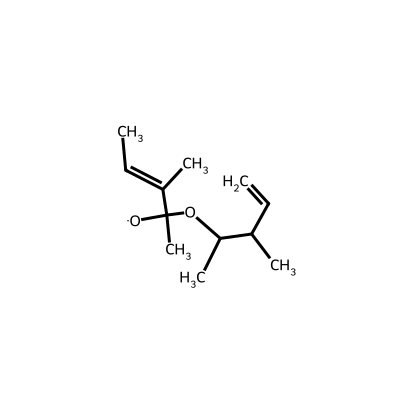 C=CC(C)C(C)OC(C)([O])C(C)=CC